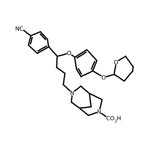 N#Cc1ccc(C(CCCN2CC3CC(C2)CN(C(=O)O)C3)Oc2ccc(OC3CCCCO3)cc2)cc1